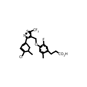 Cc1cc(OCc2c(C3=CC=C(Cl)C(C)C3)nsc2C(F)(F)F)c(F)cc1CCC(=O)O